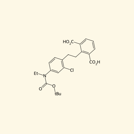 CCN(C(=O)OC(C)(C)C)c1ccc(CCc2c(C(=O)O)cccc2C(=O)O)c(Cl)c1